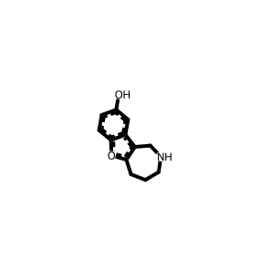 Oc1ccc2oc3c(c2c1)CNCCC3